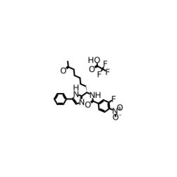 CC(=O)CCCCC[C@H](NC(=O)c1ccc([N+](=O)[O-])c(F)c1)c1ncc(-c2ccccc2)[nH]1.O=C(O)C(F)(F)F